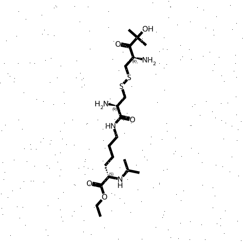 CCOC(=O)[C@H](CCCCNC(=O)[C@@H](N)CSSC[C@H](N)C(=O)C(C)(C)O)NC(C)C